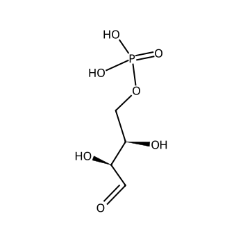 O=C[C@@H](O)[C@H](O)COP(=O)(O)O